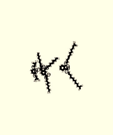 CC(C)CCCCCCCCCCOC(=O)c1ccccc1C(=O)OCCCCCCCCCCC(C)C.CC(C)COC(=O)/C=C\C(=O)OCC(C)C.CCCCCCCCOC(=O)c1ccc(C(=O)OCCCCCCCC)c(C(=O)OCCCCCCCC)c1